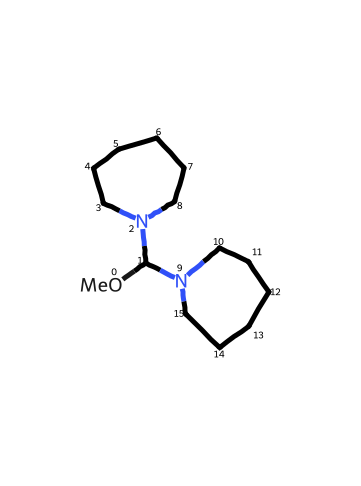 COC(N1CCCCCC1)N1CCCCCC1